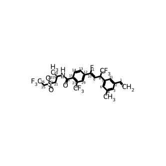 C=Cc1cc(C)cc(C(/C=C(\F)c2ccc(C(=O)N[C@H](C)CS(=O)(=O)CC(F)(F)F)c(C(F)(F)F)c2)C(F)(F)F)c1